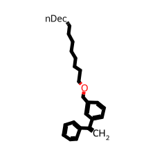 C=C(c1ccccc1)c1cccc(COCCCCCCCCCCCCCCCCCC)c1